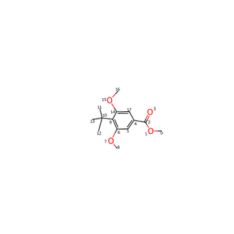 COC(=O)c1cc(OC)c(C(C)(C)C)c(OC)c1